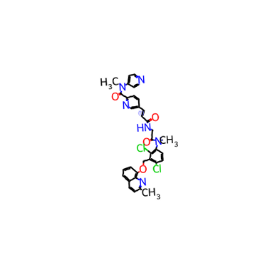 Cc1ccc2cccc(OCc3c(Cl)ccc(N(C)C(=O)CNC(=O)/C=C/c4ccc(C(=O)N(C)c5ccncc5)nc4)c3Cl)c2n1